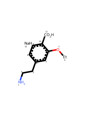 CCOc1cc(CCN)ccc1C(=O)O.[NaH]